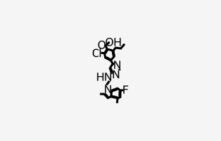 CCCc1cc(-c2cc(NCCn3c(C)cc4c(C)cc(F)cc43)ncn2)cc(Cl)c1C(=O)O